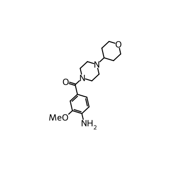 COc1cc(C(=O)N2CCN(C3CCOCC3)CC2)ccc1N